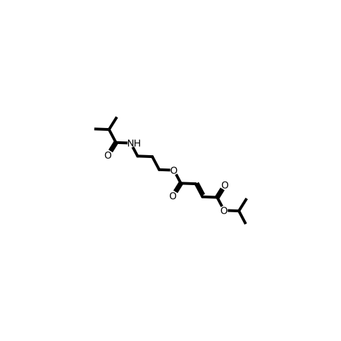 CC(C)OC(=O)C=CC(=O)OCCCNC(=O)C(C)C